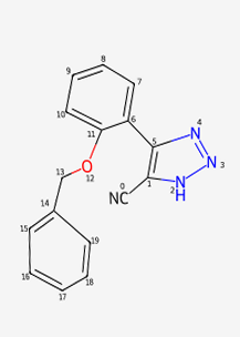 N#Cc1[nH]nnc1-c1ccccc1OCc1ccccc1